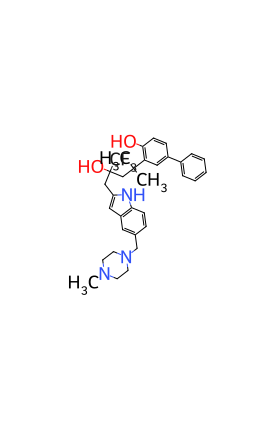 CN1CCN(Cc2ccc3[nH]c(CC(O)(CC(C)(C)c4cc(-c5ccccc5)ccc4O)C(F)(F)F)cc3c2)CC1